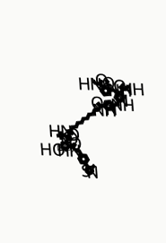 CNC(=O)c1cnc(Nc2ccc(C(=O)NCCCCCCCCCC(=O)N[C@H](C(=O)N3C[C@@H](O)C[C@H]3C(=O)NCc3ccc(-c4scnc4C)cc3)C(C)(C)C)cn2)cc1Nc1cccc(C(=O)NC)c1OC